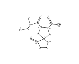 CC(CS)C(=O)N1CC2(CC1C(=O)O)SCCC2=O